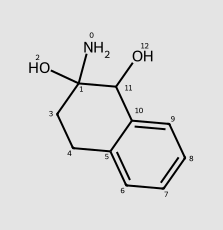 NC1(O)CCc2ccccc2C1O